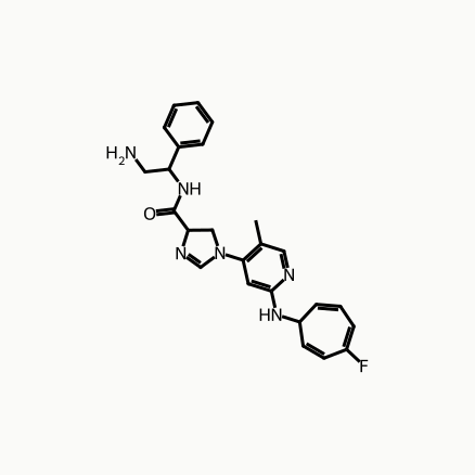 Cc1cnc(NC2C=CC=C(F)C=C2)cc1N1C=NC(C(=O)NC(CN)c2ccccc2)C1